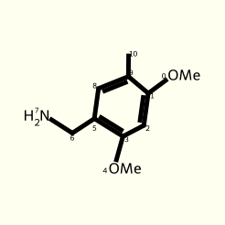 COc1cc(OC)c(CN)cc1C